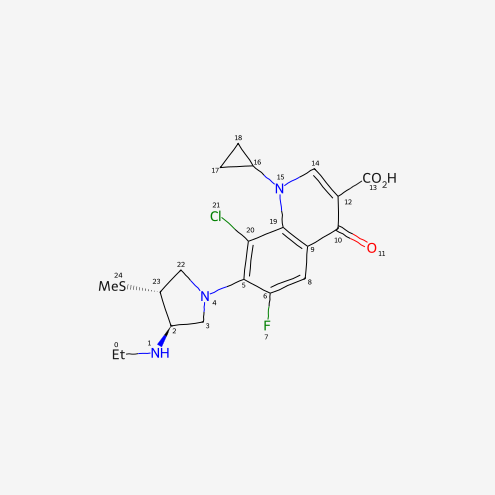 CCN[C@@H]1CN(c2c(F)cc3c(=O)c(C(=O)O)cn(C4CC4)c3c2Cl)C[C@H]1SC